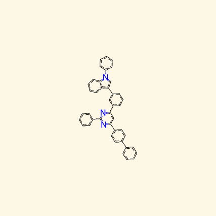 c1ccc(-c2ccc(-c3cc(-c4cccc(-c5cn(-c6ccccc6)c6ccccc56)c4)nc(-c4ccccc4)n3)cc2)cc1